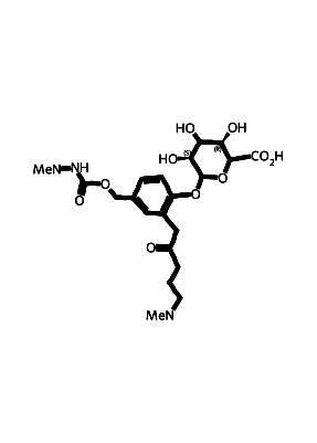 CNCCCC(=O)Cc1cc(COC(=O)NNC)ccc1OC1OC(C(=O)O)[C@H](O)C(O)[C@@H]1O